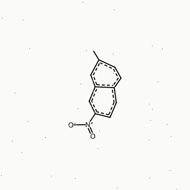 Cc1ccc2ccc([N+](=O)[O-])cc2c1